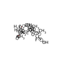 C=C[C@@]1(C)C[C@H](OC(=O)CSC2CC3CCC(C2)N3C)[C@@](C)(C(C)CC)C2C(=O)CCC2(C)[C@H](C)[C@H]1OC(=O)C(C)OC(=O)c1cn2c3c(c(N4CCC(O)CC4)c(F)cc3c1=O)CCC2C